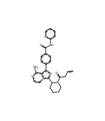 C=CCC(=O)N1CCCCC1c1nc(-c2ccc(C(=O)Nc3ccccn3)cc2)c2c(N)nccn12